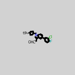 CC(C)(C)c1ccc(Cn2cc(CC=O)c3cc(-c4ccc(F)c(Cl)c4)ccc32)cc1